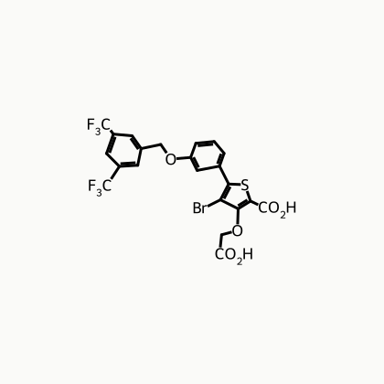 O=C(O)COc1c(C(=O)O)sc(-c2cccc(OCc3cc(C(F)(F)F)cc(C(F)(F)F)c3)c2)c1Br